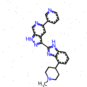 CN1CCC(c2cccc3[nH]c(-c4n[nH]c5cnc(-c6cccnc6)cc45)nc23)CC1